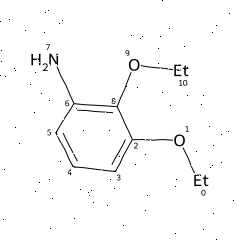 CCOc1cccc(N)c1OCC